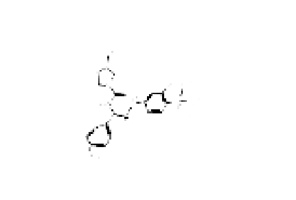 COc1ccc(C(NC(=O)N2CC[C@@H](O)C2)C(=O)Nc2ccc([Si](C)(C)C)c(F)c2)cc1